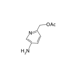 CC(=O)OCc1ccc(N)cn1